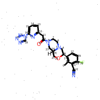 Cc1c([C@@H]2CN3CCN(C(=O)Cc4cccc(-n5cnnn5)n4)C[C@@H]3CO2)ccc(F)c1C#N